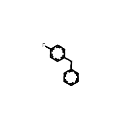 Fc1ccc([C]c2ccccc2)cc1